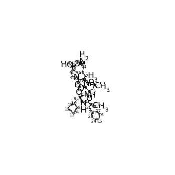 CC(C)C[C@@H](NC(=O)[C@@H](Cc1ccccc1)NC(=O)[C@H](C)Cc1ccccc1)C(=O)N[C@H](CCCCN)C(=O)N1CCC(B(O)O)C1